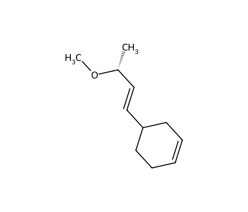 CO[C@H](C)C=CC1CC=CCC1